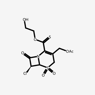 CC(=O)OCC1=C(C(=S)OCCO)N2C(=O)[C@H](Cl)C2S(=O)(=O)C1